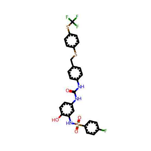 O=C(Nc1ccc(CSc2ccc(SC(F)(F)F)cc2)cc1)Nc1ccc(O)c(NS(=O)(=O)c2ccc(F)cc2)c1